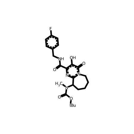 CN(C(=O)OC(C)(C)C)C1CCCCn2c1nc(C(=O)NCc1ccc(F)cc1)c(O)c2=O